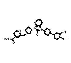 COC(=O)c1ccnc(CN2CC[C@H](n3c(=O)n(-c4ccc(-c5ccc(O)c(C#N)c5)nc4)c4cccnc43)C2)c1